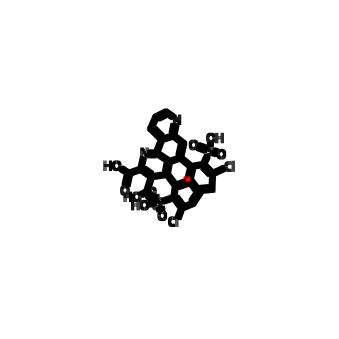 O=C(O)c1nc2c(c(-c3cccc(Cl)c3S(=O)(=O)O)cc3ncccc32)c(-c2cccc(Cl)c2S(=O)(=O)O)c1C(=O)O